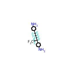 Nc1ccc(C(F)(F)C(F)(F)C(F)(F)C(F)(c2ccc(N)cc2)C(F)(F)C(F)(F)F)cc1